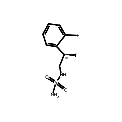 NS(=O)(=O)NC[C@H](F)c1ccccc1F